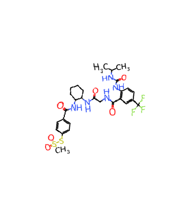 CC(C)NC(=O)Nc1ccc(C(F)(F)F)cc1C(=O)NCC(=O)N[C@@H]1CCCC[C@@H]1NC(=O)c1ccc(SS(C)(=O)=O)cc1